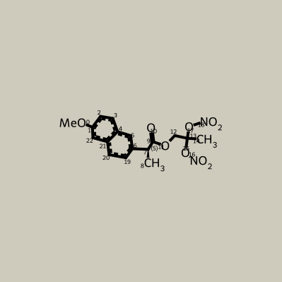 COc1ccc2cc([C@H](C)C(=O)OCC(C)(O[N+](=O)[O-])O[N+](=O)[O-])ccc2c1